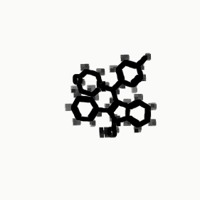 Cc1ccc(C(c2c(-c3ccccc3)n(O)c3ccccc23)N2CCOCC2)cc1